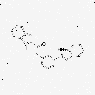 O=C(Cc1cccc(-c2cc3ccccc3[nH]2)c1)c1cc2ccccc2[nH]1